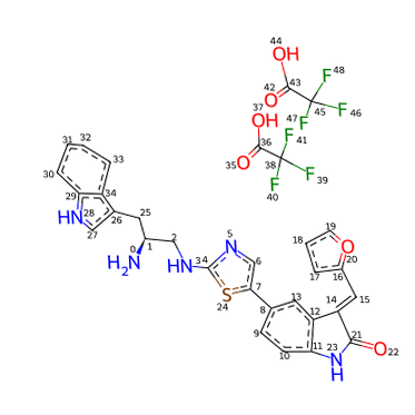 N[C@H](CNc1ncc(-c2ccc3c(c2)/C(=C\c2ccco2)C(=O)N3)s1)Cc1c[nH]c2ccccc12.O=C(O)C(F)(F)F.O=C(O)C(F)(F)F